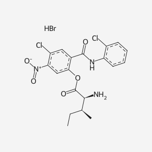 Br.CC[C@H](C)[C@H](N)C(=O)Oc1cc([N+](=O)[O-])c(Cl)cc1C(=O)Nc1ccccc1Cl